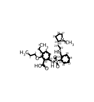 CCCOc1c(CC)ccc(NS(=O)(=O)c2ccccc2NCC[C@@H]2CCCN2C)c1C(=O)O